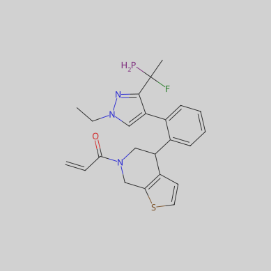 C=CC(=O)N1Cc2sccc2C(c2ccccc2-c2cn(CC)nc2C(C)(F)P)C1